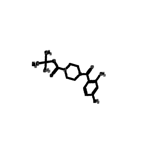 Cc1cc(N)ccc1C(=O)N1CCN(C(=O)OC(C)(C)C)CC1